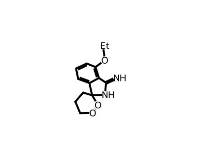 CCOc1cccc2c1C(=N)NC21CCCOO1